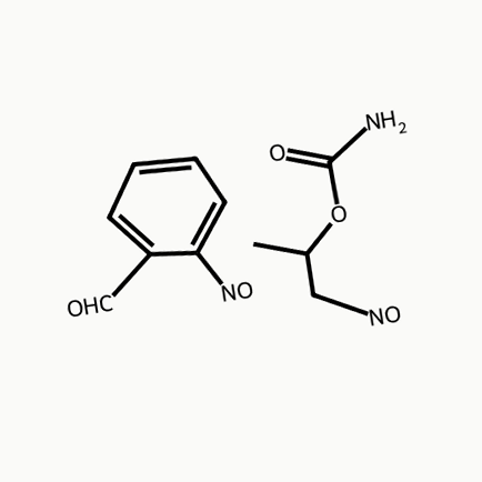 CC(CN=O)OC(N)=O.O=Cc1ccccc1N=O